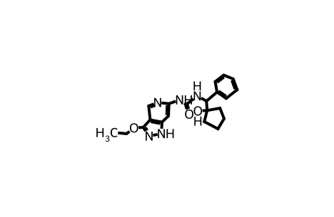 CCOc1n[nH]c2cc(NC(=O)NC(c3ccccc3)C3(O)CCCC3)ncc12